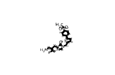 CS(=O)(=O)c1ccc(-c2ccc(Cn3cnn(CC(CN)=C(F)F)c3=O)s2)cc1